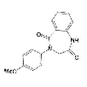 COc1ccc(N2CC(=O)Nc3ccccc3C2=O)cc1